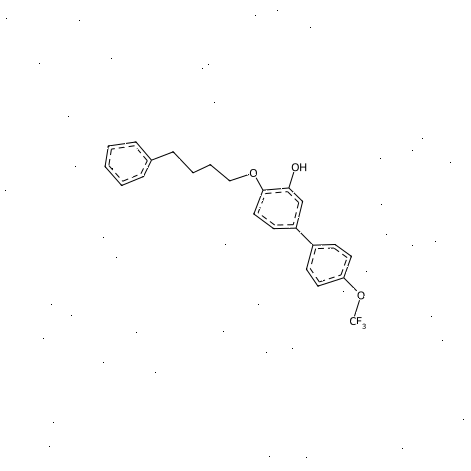 Oc1cc(-c2ccc(OC(F)(F)F)cc2)ccc1OCCCCc1ccccc1